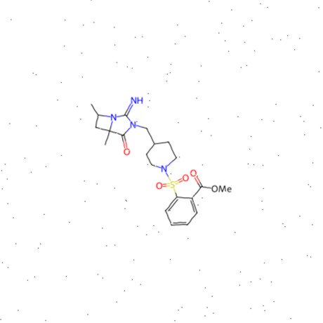 COC(=O)c1ccccc1S(=O)(=O)N1CCC(CN2C(=N)N3C(C)CC3(C)C2=O)CC1